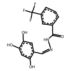 O=C(N/N=C\c1cc(O)c(O)cc1O)c1cccc(C(F)(F)F)c1